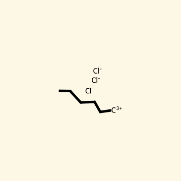 [C+3]CCCCC.[Cl-].[Cl-].[Cl-]